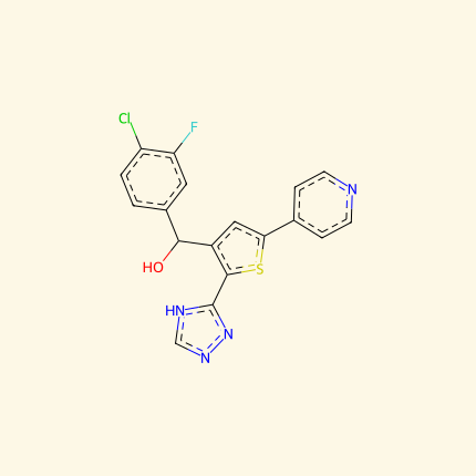 OC(c1ccc(Cl)c(F)c1)c1cc(-c2ccncc2)sc1-c1nnc[nH]1